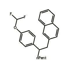 CCCCCC(Cc1ccc2ccccc2c1)c1ccc(OC(F)F)cc1